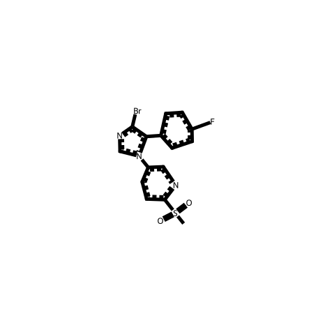 CS(=O)(=O)c1ccc(-n2cnc(Br)c2-c2ccc(F)cc2)cn1